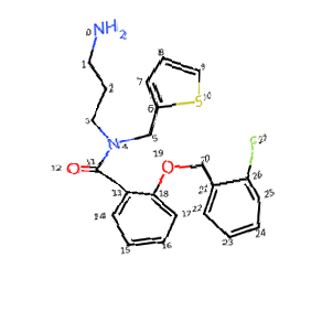 NCCCN(Cc1cccs1)C(=O)c1ccccc1OCc1ccccc1F